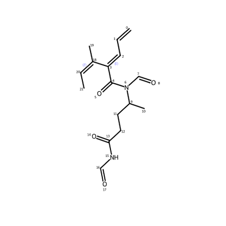 C=C/C=C(C(=O)N(C=O)C(C)CCC(=O)NC=O)\C(C)=C/C